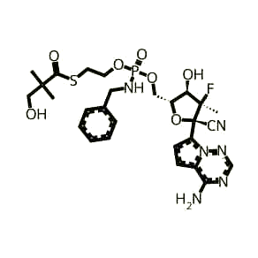 CC(C)(CO)C(=O)SCCOP(=O)(NCc1ccccc1)OC[C@H]1O[C@@](C#N)(c2ccc3c(N)ncnn23)[C@](C)(F)[C@@H]1O